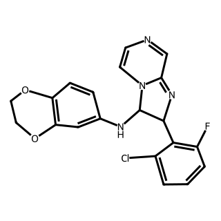 Fc1cccc(Cl)c1C1N=C2C=NC=CN2C1Nc1ccc2c(c1)OCCO2